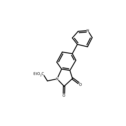 CCOC(=O)CN1C(=O)C(=O)c2cc(-c3ccncc3)ccc21